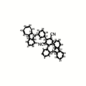 N#Cc1ccc(-c2ccccc2-n2c3ccccc3c3ccccc32)c(C#N)c1-c1cccc(-n2c3c(c4ccccc42)C=CC=CC3)c1